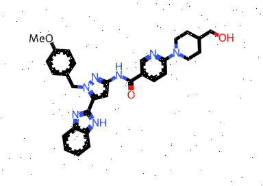 COc1ccc(Cn2nc(NC(=O)c3ccc(N4CCC(CO)CC4)nc3)cc2-c2nc3ccccc3[nH]2)cc1